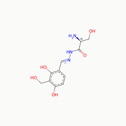 N[C@@H](CO)C(=O)N/N=C/c1ccc(O)c(CO)c1O